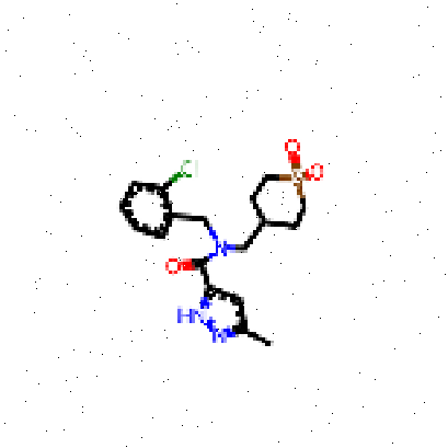 Cc1cc(C(=O)N(Cc2ccccc2Cl)CC2CCS(=O)(=O)CC2)[nH]n1